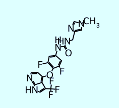 Cn1cnc(CNC(=O)Nc2cc(F)c(Oc3ccnc4[nH]cc(C(F)(F)F)c34)c(F)c2)c1